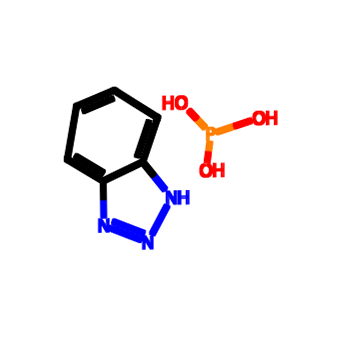 OP(O)O.c1ccc2[nH]nnc2c1